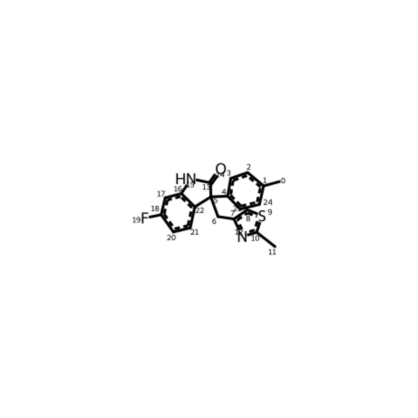 Cc1ccc(C2(Cc3csc(C)n3)C(=O)Nc3cc(F)ccc32)cc1